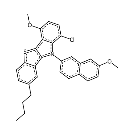 CCCCc1ccc2sc3c4c(OC)ccc(Cl)c4n(-c4ccc5ccc(OC)cc5c4)c3c2c1